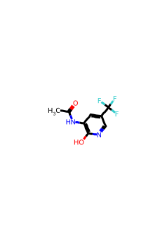 CC(=O)Nc1cc(C(F)(F)F)cnc1O